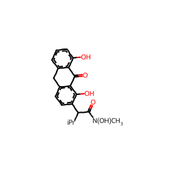 CC(C)C(C(=O)N(C)O)c1ccc2c(c1O)C(=O)c1c(O)cccc1C2